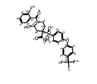 NC(=O)C1(S(=O)(=O)c2ccc(Oc3ccc(C(F)(F)F)cc3)cc2)CCN(C(=O)c2ccccc2F)C(O)C1